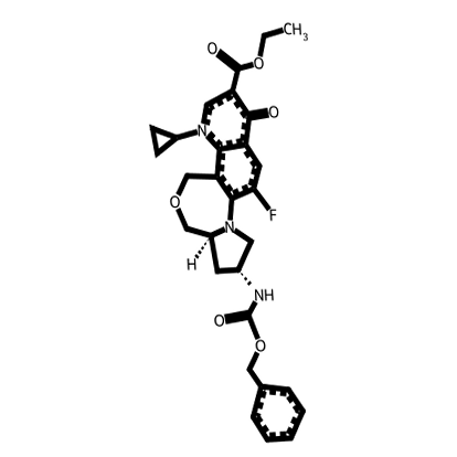 CCOC(=O)c1cn(C2CC2)c2c3c(c(F)cc2c1=O)N1C[C@H](NC(=O)OCc2ccccc2)C[C@H]1COC3